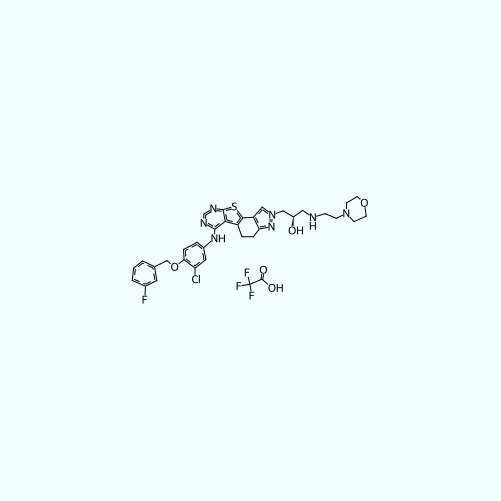 O=C(O)C(F)(F)F.O[C@H](CNCCN1CCOCC1)Cn1cc2c(n1)CCc1c-2sc2ncnc(Nc3ccc(OCc4cccc(F)c4)c(Cl)c3)c12